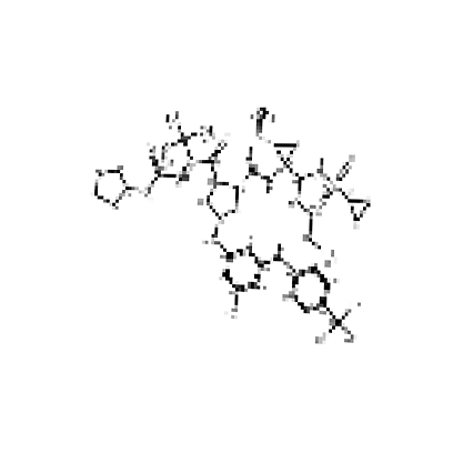 C=C[C@@H]1C[C@]1(NC(=O)[C@@H]1C[C@@H](Oc2cc(Cl)nc(Nc3ccc(C(F)(F)F)cc3)n2)CN1C(=O)[C@@H](NC(=O)OC1CCCC1)C(C)(C)C)C(CCCC)NS(=O)(=O)C1CC1